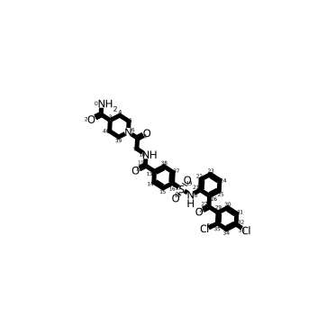 NC(=O)C1CCN(C(=O)CNC(=O)c2ccc(S(=O)(=O)Nc3ccccc3C(=O)c3ccc(Cl)cc3Cl)cc2)CC1